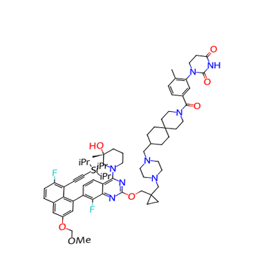 COCOc1cc(-c2ccc3c(N4CCC[C@@](C)(O)C4)nc(OCC4(CN5CCN(CC6CCC7(CC6)CCN(C(=O)c6ccc(C)c(N8CCC(=O)NC8=O)c6)CC7)CC5)CC4)nc3c2F)c2c(C#C[Si](C(C)C)(C(C)C)C(C)C)c(F)ccc2c1